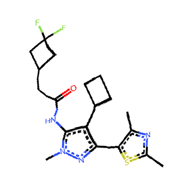 Cc1nc(C)c(-c2nn(C)c(NC(=O)CC3CC(F)(F)C3)c2C2CCC2)s1